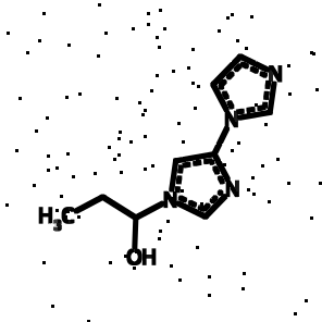 CCC(O)n1cnc(-n2ccnc2)c1